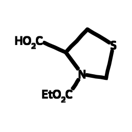 CCOC(=O)N1CSCC1C(=O)O